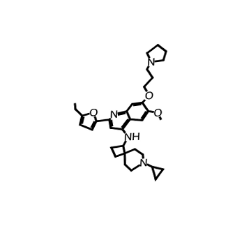 CCc1ccc(-c2cc(NC3CCC34CCN(C3CC3)CC4)c3cc(OC)c(OCCCN4CCCC4)cc3n2)o1